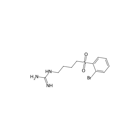 N=C(N)NCCCCS(=O)(=O)c1ccccc1Br